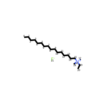 CCCCCCCCCCCCCCCC[N+](C)(C)CC.[F-]